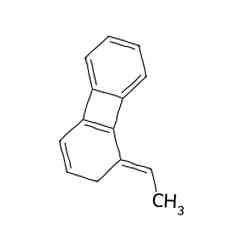 CC=C1CC=CC2=C1c1ccccc12